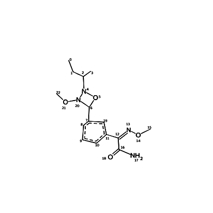 CCC(C)N1OC(c2cccc(C(=NOC)C(N)=O)c2)N1OC